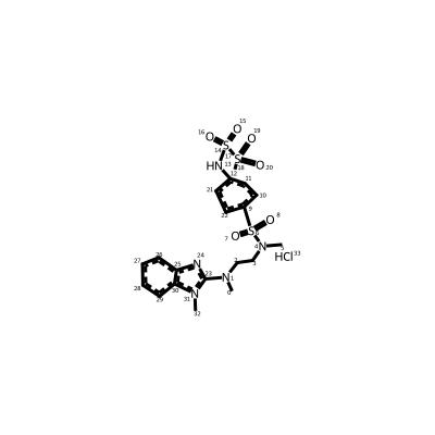 CN(CCN(C)S(=O)(=O)c1ccc(NS(=O)(=O)S(C)(=O)=O)cc1)c1nc2ccccc2n1C.Cl